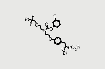 CCOC(Cc1ccc(OCCN(CCOCC(F)(F)CC)C(=O)Oc2cccc(F)c2)cc1)C(=O)O